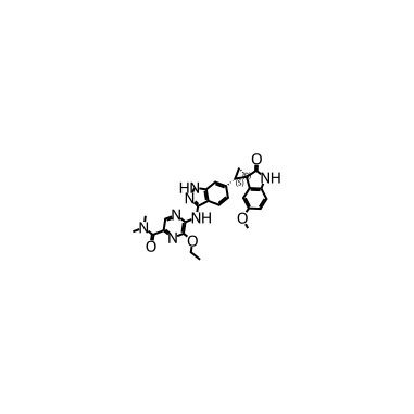 CCOc1nc(C(=O)N(C)C)cnc1Nc1n[nH]c2cc([C@@H]3C[C@@]34C(=O)Nc3ccc(OC)cc34)ccc12